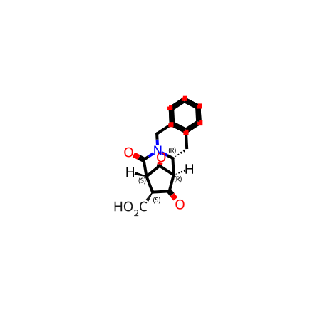 O=C(O)[C@@H]1C(=O)[C@H]2C(=O)[C@H]1C(=O)N(Cc1ccccc1)[C@@H]2Cc1ccccc1